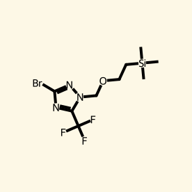 C[Si](C)(C)CCOCn1nc(Br)nc1C(F)(F)F